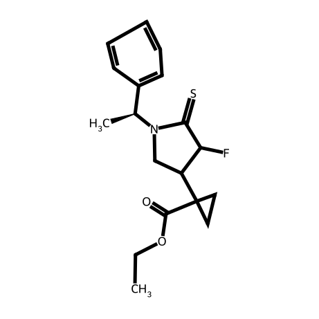 CCOC(=O)C1(C2CN([C@@H](C)c3ccccc3)C(=S)C2F)CC1